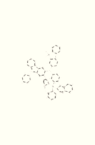 CC1(C)c2ccccc2-c2ccc(N(c3ccc4c(c3)C3(c5ccccc5Sc5ccccc53)c3ccc5ccccc5c3-4)c3ccc4c(c3)c3ccccc3n4-c3ccccc3)cc21